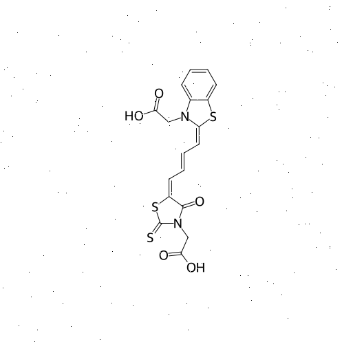 O=C(O)CN1C(=O)C(=CC=CC=C2Sc3ccccc3N2CC(=O)O)SC1=S